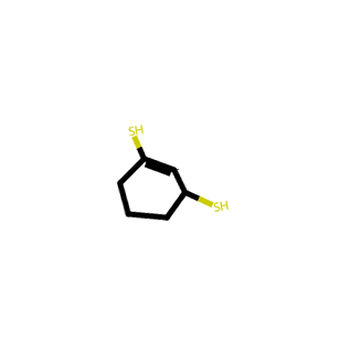 SC1=[C]C(S)CCC1